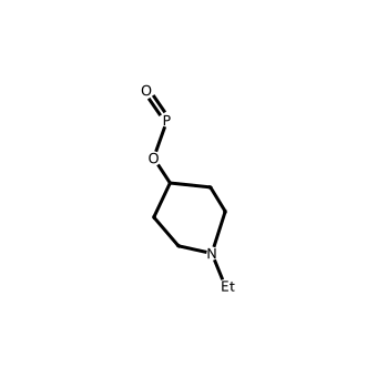 CCN1CCC(OP=O)CC1